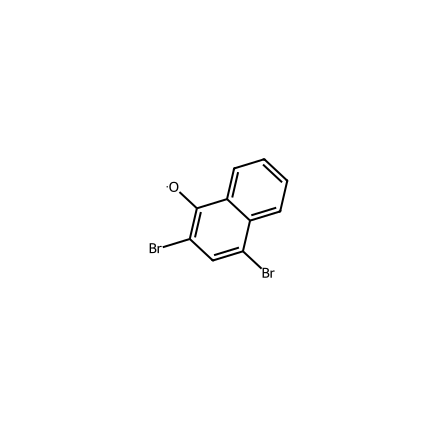 [O]c1c(Br)cc(Br)c2ccccc12